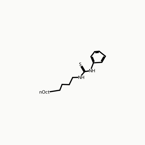 CCCCCCCCCCCCNC(=S)Nc1ccccc1